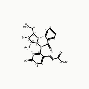 COC(=O)C=Cc1c[nH]c(=O)nc1N(C(=O)c1ccccc1)[C@@H]1O[C@H](COC(C)=O)[C@H](Br)[C@H]1OC(C)=O